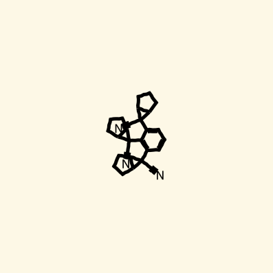 N#CC1(c2cccc(C3(C#N)C4CCCC43)c2C2(C#N)C3CCCC32)C2CCCC21